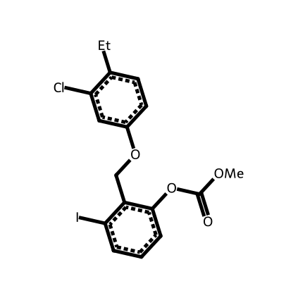 CCc1ccc(OCc2c(I)cccc2OC(=O)OC)cc1Cl